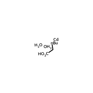 CCCCCC(=O)O.O.O.[Cd]